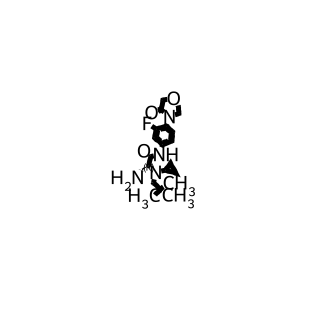 CC(C)(C)CN(C1CC1)[C@H](CN)C(=O)Nc1ccc(N2CCOCC2=O)c(F)c1